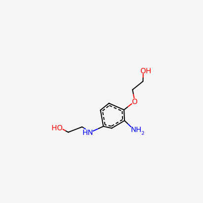 Nc1cc(NCCO)ccc1OCCO